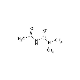 CC(=O)N[S+]([O-])N(C)C